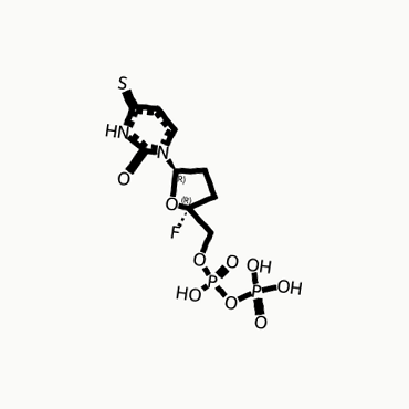 O=c1[nH]c(=S)ccn1[C@H]1CC[C@@](F)(COP(=O)(O)OP(=O)(O)O)O1